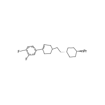 CCC[C@H]1CC[C@H](CCC2CC=C(c3ccc(F)c(F)c3)CC2)CC1